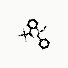 CON(Cc1ccccc1)c1ccccc1C(=O)C(F)(F)F